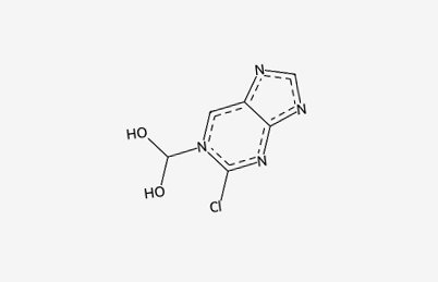 OC(O)n1cc2ncnc-2nc1Cl